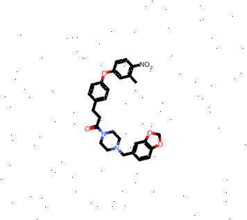 Cc1cc(Oc2ccc(CCC(=O)N3CCN(Cc4ccc5c(c4)OCO5)CC3)cc2)ccc1[N+](=O)[O-]